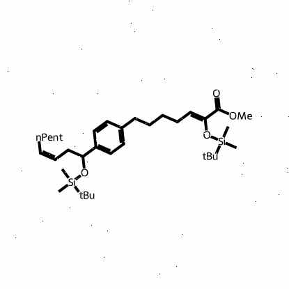 CCCCC/C=C\CC(O[Si](C)(C)C(C)(C)C)c1ccc(CCCCC=C(O[Si](C)(C)C(C)(C)C)C(=O)OC)cc1